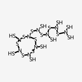 SN(S)SN(S)SN(S)SN(S)SN1SN(S)SN(S)SN(S)SN(S)S1